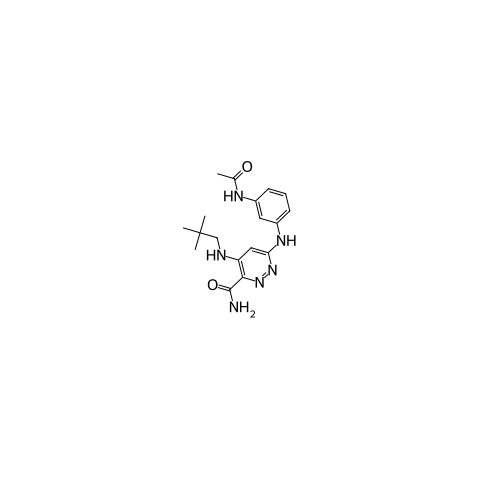 CC(=O)Nc1cccc(Nc2cc(NCC(C)(C)C)c(C(N)=O)nn2)c1